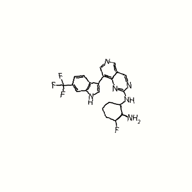 NC1C(F)CCCC1Nc1ncc2cncc(-c3c[nH]c4cc(C(F)(F)F)ccc34)c2n1